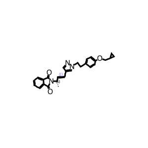 C[C@@H](/C=C/c1cnn(CCc2ccc(OCC3CC3)cc2)c1)N1C(=O)c2ccccc2C1=O